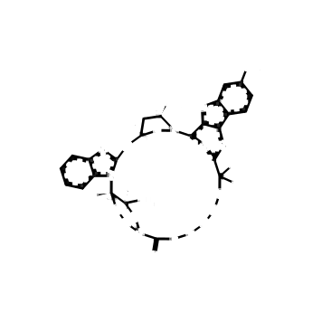 Cc1ccc2c(c1)oc1c3nc(nc12)C(F)(F)CCCCCC(=O)N1CC[C@@H]([C@@H](C)C1)n1c(nc2ccccc21)O[C@H]1C[C@@H](C(=O)O)N3C1